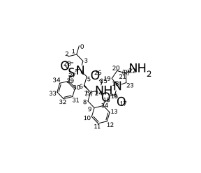 CC(C)CN(CC[C@H](CC1C=CC=CC1OC(=O)N1CC[C@@H](N)C1)NC=O)[S+]([O-])c1ccccc1